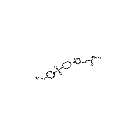 COc1ccc(S(=O)(=O)N2CCN(c3ncc(/C=C/C(=O)NO)s3)CC2)cc1